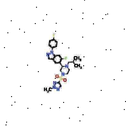 CC(C)CN1CCN(S(=O)(=O)c2cnn(C)n2)CC1c1cc2cnn(-c3ccc(F)cc3)c2cc1F